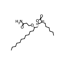 CCCCCCCCCCCC(C[C@@H]1OC(=O)[C@H]1CCCCCC)OCCC(N)=O